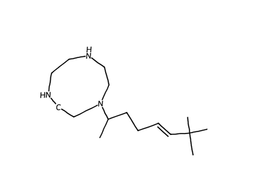 CC(CCC=CC(C)(C)C)N1CCNCCNCC1